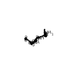 CCCCCc1cc2c(CCCCCNC(=O)OCc3ccc(NC(=O)CNC(=O)C(NC(=O)CCCCCN4C(=O)C=CC4=O)C(C)C)cc3)cccc2nc1N